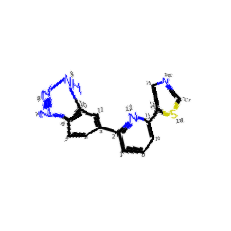 c1cc(-c2ccc3nn[nH]c3c2)nc(-c2cncs2)c1